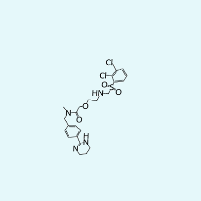 CN(Cc1ccc(C2=NCCCN2)cc1)C(=O)COCCNCS(=O)(=O)c1cccc(Cl)c1Cl